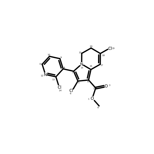 COC(=O)c1c(Cl)c(-c2cccnc2Cl)n2c1C=C(Cl)CC2